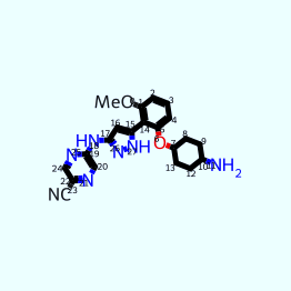 COc1cccc(OC2CCC(N)CC2)c1-c1cc(Nc2cnc(C#N)cn2)n[nH]1